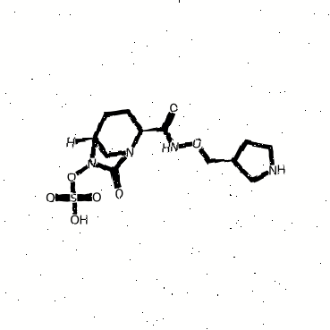 O=C(NOC[C@H]1CCNC1)[C@@H]1CC[C@@H]2CN1C(=O)N2OS(=O)(=O)O